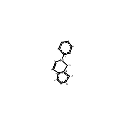 [c]1ccccc1N1C=Cc2ccccc2C1